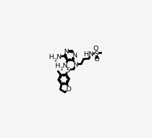 Cc1cc2c(cc1SCN(CCCNS(C)(=O)=O)c1ncnc(N)c1N)OCC2